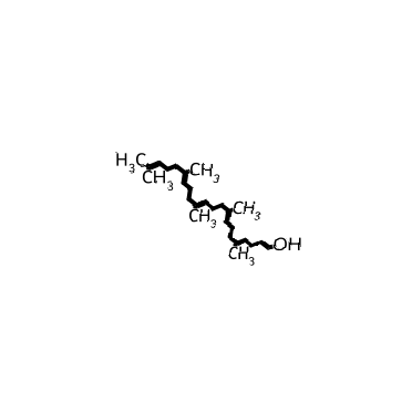 CC(C)=CCCC(C)=CCCC(C)=CCCC(C)=CCCC(C)=CCCCO